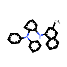 Cc1cc(Nc2ccccc2N(c2ccccc2)c2ccccc2)c2ccccc2c1